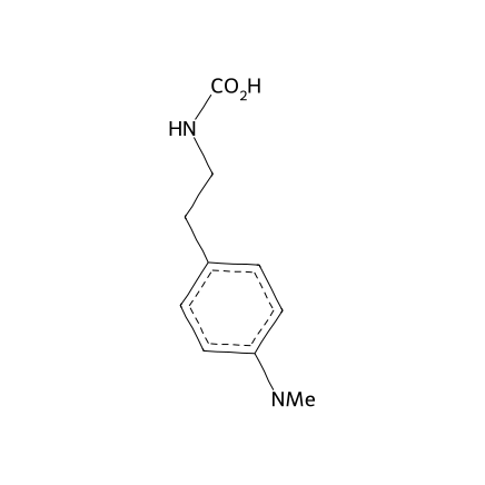 CNc1ccc(CCNC(=O)O)cc1